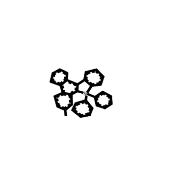 Cc1ccc2c(c1)c1c(c3ccccc32)-c2ccccc2[Si]1(c1ccccc1)c1ccccc1